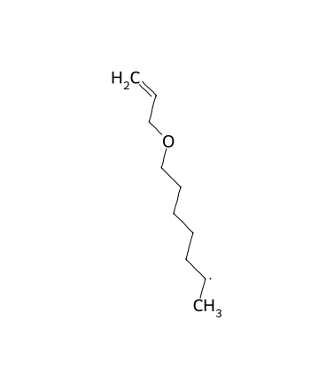 C=CCOCCCCC[CH]C